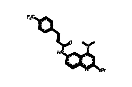 CCCc1cc(N(C)C)c2cc(NC(=O)C=Cc3ccc(C(F)(F)F)cc3)ccc2n1